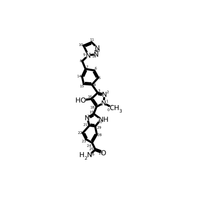 Cn1nc(-c2ccc(Cn3ccnn3)cc2)c(O)c1-c1nc2ccc(C(N)=O)cc2[nH]1